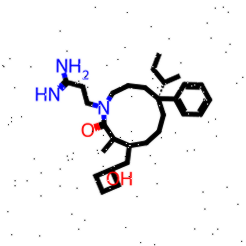 CCC(C)[C@]1(c2ccccc2)CCCC(CC2(O)CCC2)C(C)C(=O)N(CCC(=N)N)CCC1